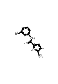 O=C(Nc1cccc(Br)c1)c1ccc([N+](=O)[O-])o1